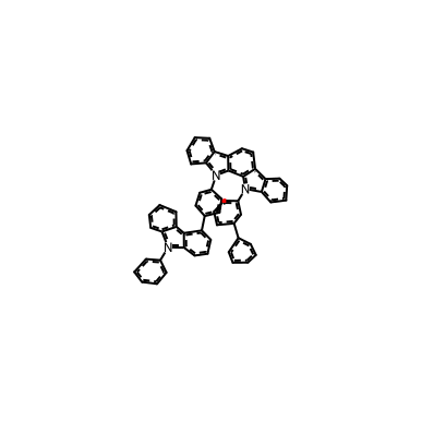 c1ccc(-c2cccc(-n3c4ccccc4c4ccc5c6ccccc6n(-c6ccc(-c7cccc8c7c7ccccc7n8-c7ccccc7)cc6)c5c43)c2)cc1